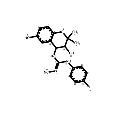 CC1(C)Oc2ccc(C#N)cc2C(N/C(=N\C#N)Nc2ccc(F)cc2)C1O